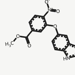 COC(=O)c1ccc([N+](=O)[O-])c(Oc2ccc3[nH]ccc3c2)c1